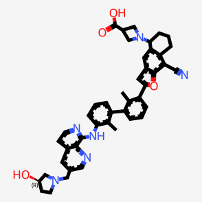 Cc1c(Nc2nccc3cc(CN4CC[C@@H](O)C4)cnc23)cccc1-c1cccc(-c2cc3cc4c(c(C#N)c3o2)CCCC4N2CC(C(=O)O)C2)c1C